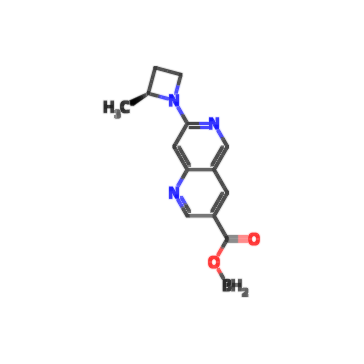 BOC(=O)c1cnc2cc(N3CC[C@@H]3C)ncc2c1